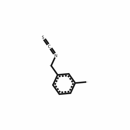 [CH2]c1cccc([CH]N=C=S)c1